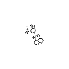 CNc1ccc(C(=O)N(C)c2cccc3ccccc23)cc1[N+](=O)[O-]